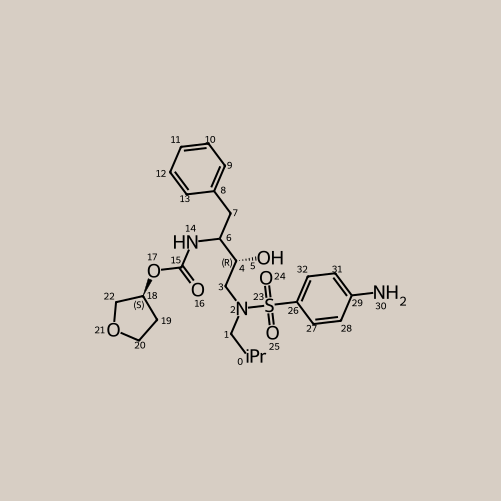 CC(C)CN(C[C@@H](O)C(Cc1ccccc1)NC(=O)O[C@H]1CCOC1)S(=O)(=O)c1ccc(N)cc1